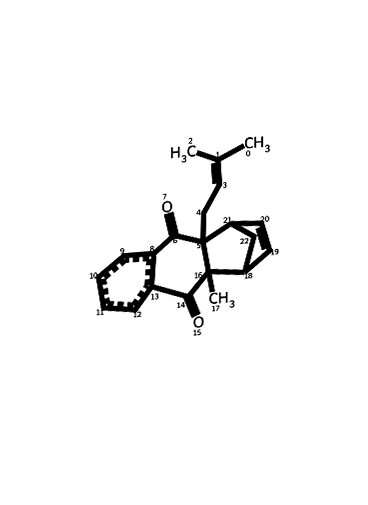 CC(C)=CCC12C(=O)c3ccccc3C(=O)C1(C)C1C=CC2C1